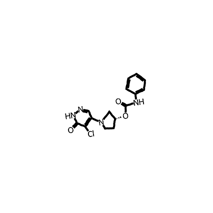 O=C(Nc1ccccc1)O[C@@H]1CCN(c2cn[nH]c(=O)c2Cl)C1